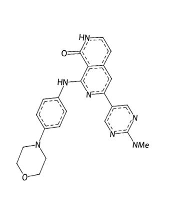 CNc1ncc(-c2cc3cc[nH]c(=O)c3c(Nc3ccc(N4CCOCC4)cc3)n2)cn1